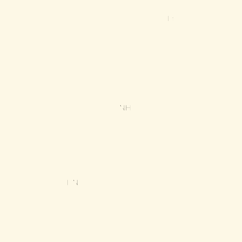 CC(C)c1ccc(CNCCc2c[nH]c3ccccc23)cc1